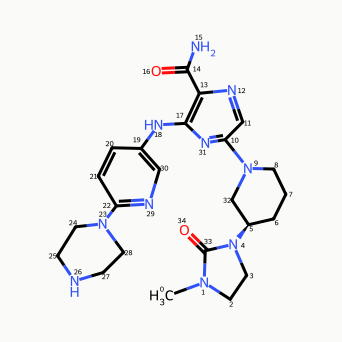 CN1CCN([C@@H]2CCCN(c3cnc(C(N)=O)c(Nc4ccc(N5CCNCC5)nc4)n3)C2)C1=O